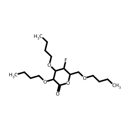 CCCCOCC1OC(=O)C(OCCCC)C(OCCCC)C1F